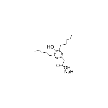 CCCCCc1cc(CC(=O)O)cc(CCCCC)c1O.[NaH]